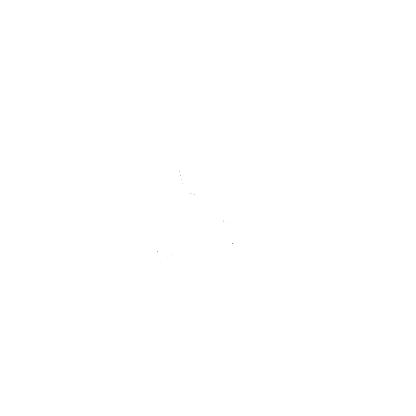 C[C@@]12CCC(=O)N[C@@H]1c1ccccc1CC2